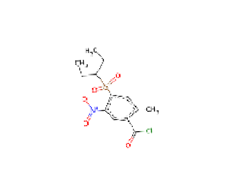 CCC(CC)S(=O)(=O)c1cc(C)c(C(=O)Cl)cc1[N+](=O)[O-]